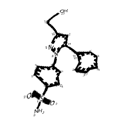 NS(=O)(=O)c1ccc(-n2nc(CO)cc2-c2ccccc2)cc1